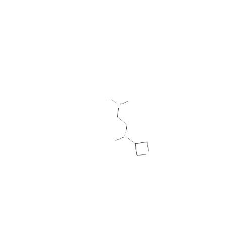 CN(I)CCN(I)C1COC1